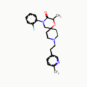 CC1OC2(CCN(CCc3ccc(C(F)(F)F)nc3)CC2)CN(c2ccccc2F)C1=O